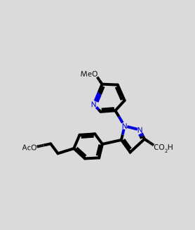 COc1ccc(-n2nc(C(=O)O)cc2-c2ccc(CCOC(C)=O)cc2)cn1